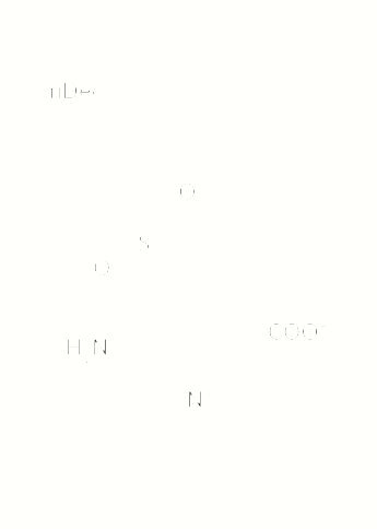 CCCCCCCCCCCCS(=O)(=O)C(CC(=O)[O-])C(N)[N+](C)(C)C